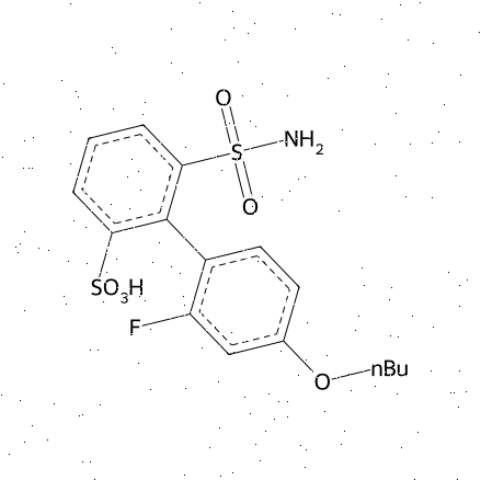 CCCCOc1ccc(-c2c(S(N)(=O)=O)cccc2S(=O)(=O)O)c(F)c1